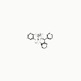 CC(C)(C)c1ccccc1N(C(=O)O)S(=O)(=O)NC(c1ccccc1)c1ccccc1